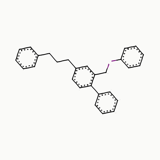 c1ccc(CCCc2ccc(-c3ccccc3)c(CPc3ccccc3)c2)cc1